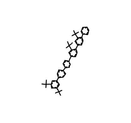 CC(C)(C)c1cc(-c2ccc(-c3ccc(-c4ccc(-c5ccc(-c6ccccc6)c(C(C)(C)C)c5)c(C(C)(C)C)c4)cc3)cc2)cc(C(C)(C)C)c1